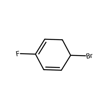 FC1=CCC(Br)C=C1